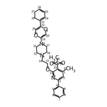 Cc1cc(-c2ccccc2)nc(OCCN2CCN(C3=COC(C4=CC=CCC4)=CO3)CC2)c1S(C)(=O)=O